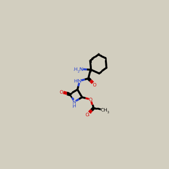 CC(=O)OC1NC(=O)C1NC(=O)C1(N)CCCCC1